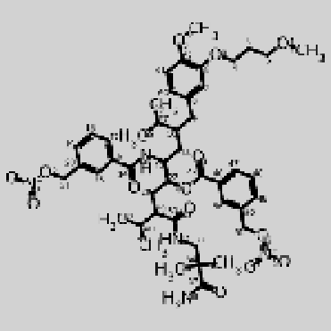 COCCCOc1cc(CC(CC(NC(=O)c2cccc(CO[N+](=O)[O-])c2)C(CC(C(=O)NCC(C)(C)C(N)=O)C(C)C)OC(=O)c2cccc(CO[N+](=O)[O-])c2)C(C)C)ccc1OC